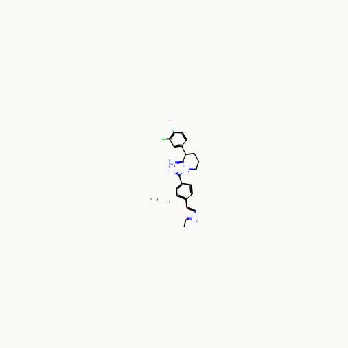 COc1cc(-c2nnc3n2CCCC3c2ccc(F)c(Cl)c2)ccc1-c1cnc(C)o1